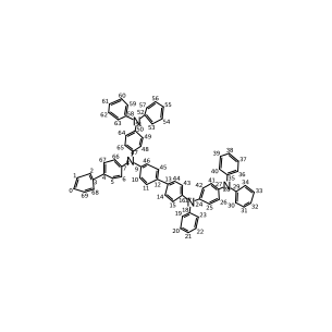 c1ccc(-c2ccc(N(c3ccc(-c4ccc(N(c5ccccc5)c5ccc(N(c6ccccc6)c6ccccc6)cc5)cc4)cc3)c3ccc(N(c4ccccc4)c4ccccc4)cc3)cc2)cc1